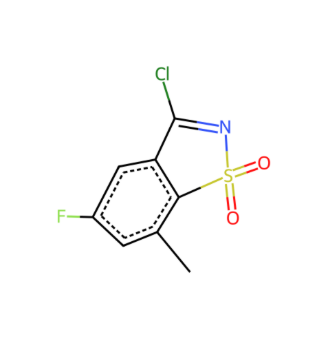 Cc1cc(F)cc2c1S(=O)(=O)N=C2Cl